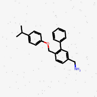 CC(C)c1ccc(OCc2ccc(CN)cc2-c2ccccc2)cc1